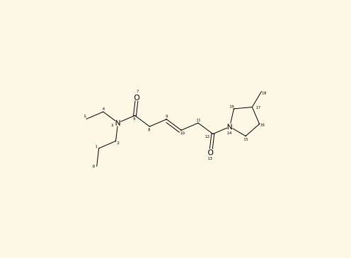 CCCN(CC)C(=O)C/C=C/CC(=O)N1CCC(C)C1